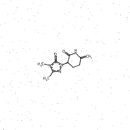 C=C1CCC(n2nc(C)n(C)c2=O)C(=O)N1